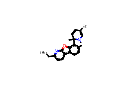 CCC1=CN(C)C(C)(c2c(C)ccc3c2oc2nc(CC(C)(C)C)ccc23)C=C1